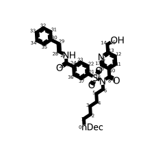 CCCCCCCCCCCCCCCCN(C(=O)c1ccc(CO)nc1)S(=O)(=O)c1ccc(C(=O)NC=Cc2ccccc2)cc1